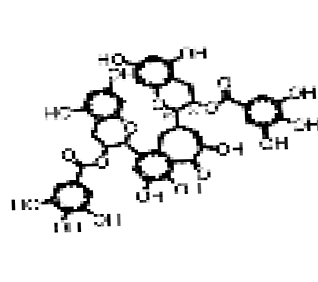 O=C(OC1Cc2c(O)cc(O)cc2OC1c1cc(O)c(O)c2c1CC([C@H]1Oc3cc(O)cc(O)c3C[C@H]1OC(=O)c1cc(O)c(O)c(O)c1)C=C(O)C2=O)c1cc(O)c(O)c(O)c1